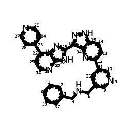 c1ccc(CNCc2cncc(-c3ccc4[nH]nc(-c5nc6c(-c7ccncc7)ccnc6[nH]5)c4n3)c2)cc1